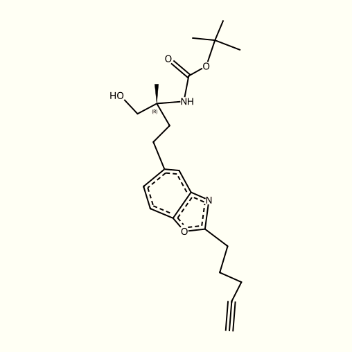 C#CCCCc1nc2cc(CC[C@](C)(CO)NC(=O)OC(C)(C)C)ccc2o1